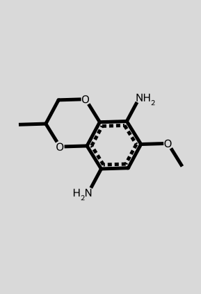 COc1cc(N)c2c(c1N)OCC(C)O2